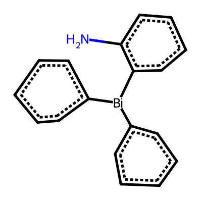 Nc1cccc[c]1[Bi]([c]1ccccc1)[c]1ccccc1